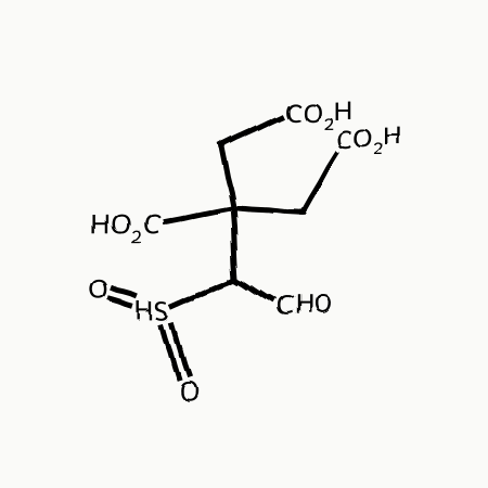 O=CC([SH](=O)=O)C(CC(=O)O)(CC(=O)O)C(=O)O